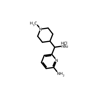 CCCCC(c1cccc(N)n1)C1CCN(C)CC1.Cl